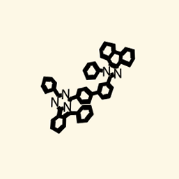 c1ccc(-c2nc(-c3ccc(-c4cccc(-c5nc6c7ccccc7c7ccccc7c6n5-c5ccccc5)c4)cc3)n3c(-c4ccccc4)c4ccccc4c3n2)cc1